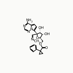 C/N=C\[C@@]1(c2ccc3c(N)ncnn23)O[C@H](COC(=O)C2(c3ccccc3)CC2)[C@@H](O)[C@H]1O